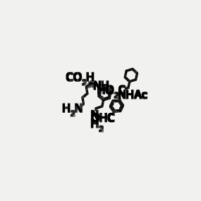 CC(=O)Nc1ccc(C=O)cc1.NCCCC[C@H](N)C(=O)O.NCCc1ccccc1.O=C(O)CC1CCCCC1